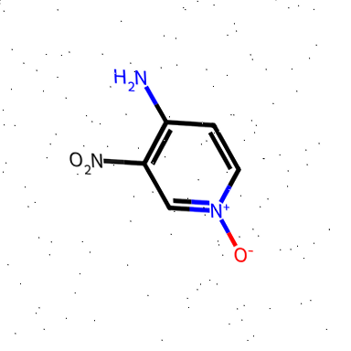 Nc1cc[n+]([O-])cc1[N+](=O)[O-]